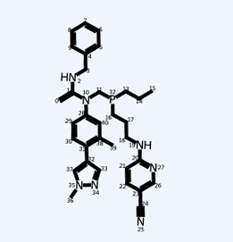 C=C(NCc1ccccc1)N(CP(CCC)CCCNc1ccc(C#N)cn1)c1ccc(-c2cnn(C)c2)c(C)c1